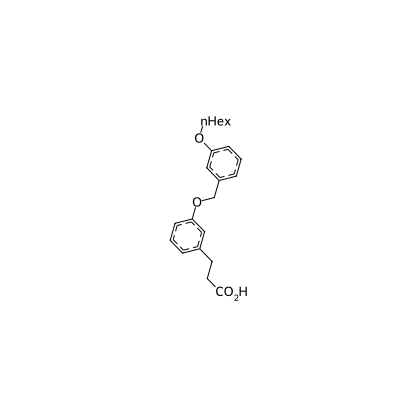 CCCCCCOc1cccc(COc2cccc(CCC(=O)O)c2)c1